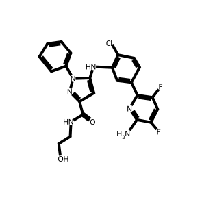 Nc1nc(-c2ccc(Cl)c(Nc3cc(C(=O)NCCO)nn3-c3ccccc3)c2)c(F)cc1F